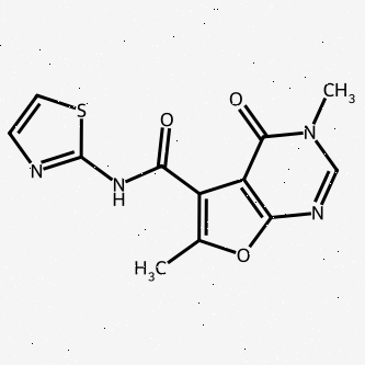 Cc1oc2ncn(C)c(=O)c2c1C(=O)Nc1nccs1